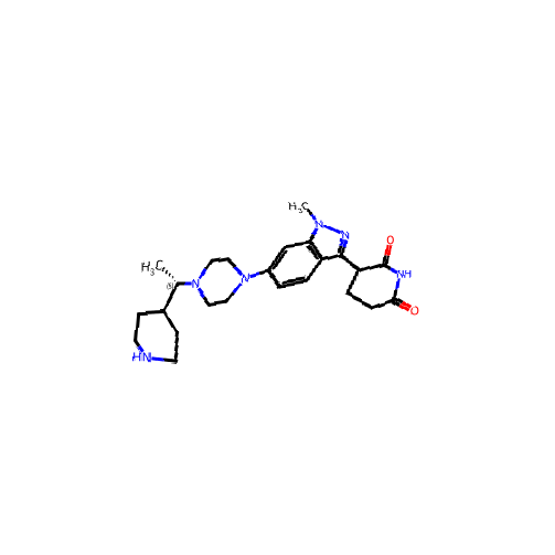 C[C@@H](C1CCNCC1)N1CCN(c2ccc3c(C4CCC(=O)NC4=O)nn(C)c3c2)CC1